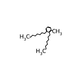 CCCCCCCCc1cccc(C)c1CCCCCCCC